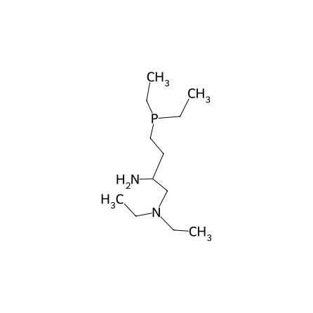 CCN(CC)CC(N)CCP(CC)CC